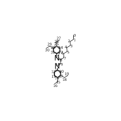 CCCCCCCCC(C=Nc1ccc(CC)c(CC)c1)=Nc1ccc(CC)c(CC)c1